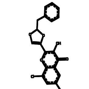 O=c1c(O)c(C2=COC(Cc3ccccc3)O2)oc2c(Cl)cc(Cl)cc12